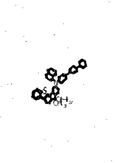 CC1(C)c2ccc(N(c3ccc(-c4ccc(C5=CCCC=C5)cc4)cc3)c3cccc4ccccc34)cc2-c2c1ccc1c2sc2ccccc21